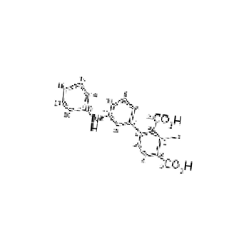 Cc1c(C(=O)O)ccc(-c2cccc(Nc3ccccc3)c2)c1C(=O)O